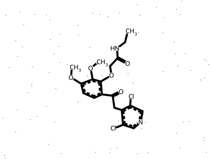 CCNC(=O)COc1c(C(=O)Cc2c(Cl)cncc2Cl)ccc(OC)c1OC